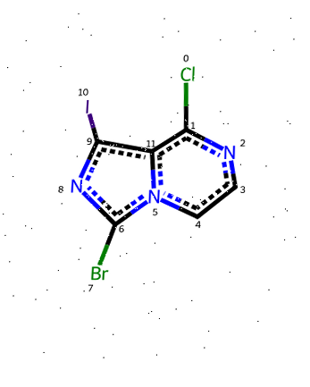 Clc1nccn2c(Br)nc(I)c12